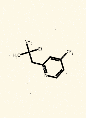 CCC(C)(N)Cc1cc(C(F)(F)F)ccn1